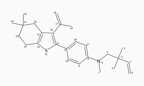 C=CC(C)(C)CN(C)c1ccc(-c2sc3c(c2C(=C)C)CC(C)(C)CC3)cc1